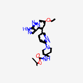 CCOc1cc(-c2ccc(N3CCC(C)(NC(=O)OC(C)C)CC3)nc2)c2c3cn[nH]c3nn2c1